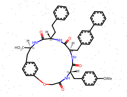 COc1ccc(C[C@@H]2NC(=O)COc3ccc(cc3)C[C@@H](C(=O)O)NC(=O)[C@H](CCc3ccccc3)NC(=O)[C@@H](Cc3ccc(-c4ccccc4)cc3)NC2=O)cc1